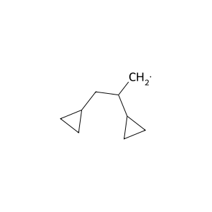 [CH2]C(CC1CC1)C1CC1